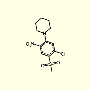 CS(=O)(=O)c1cc([N+](=O)[O-])c(N2CCCCC2)cc1Cl